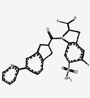 NS(=O)(=O)c1cc2c(cc1F)CC(C(F)F)N2C(=O)C1Cc2ccc(-c3ccccn3)cc2C1